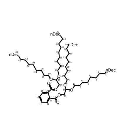 CCCCCCCCCCCCCCCCCCOC(COC(=O)c1ccccc1C(=O)OCC(OCCCCCCCCCCCCCCCCCC)OCCCCCCCCCCCCCCCCCC)OCCCCCCCCCCCCCCCCCC